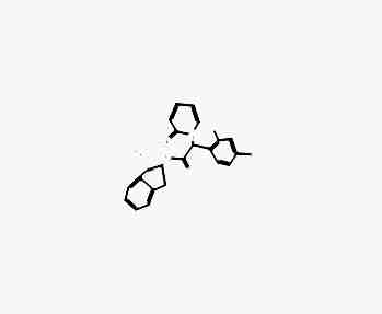 O=C(O)N[C@H]1c2ccccc2C[C@@H]1NC(=O)C(c1ccc(F)cc1F)n1ccccc1=O